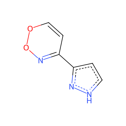 C1=CC(c2cc[nH]n2)=NOO1